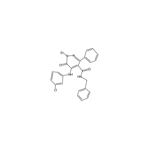 CCn1nc(-c2ccccc2)c(C(=O)NCc2ccccc2)c(Nc2cccc(Cl)c2)c1=O